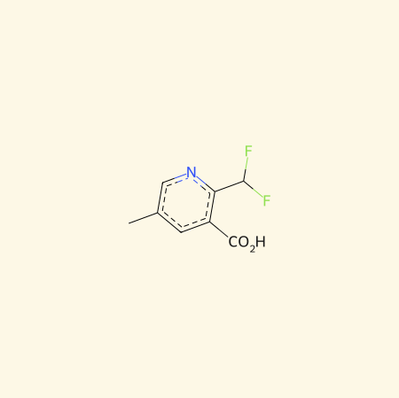 Cc1cnc(C(F)F)c(C(=O)O)c1